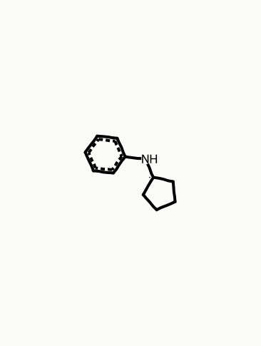 c1ccc(N[C]2CCCC2)cc1